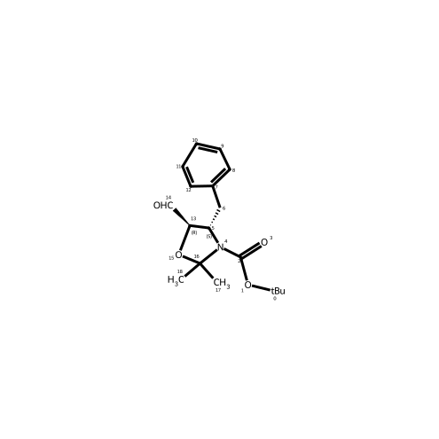 CC(C)(C)OC(=O)N1[C@@H](Cc2ccccc2)[C@H](C=O)OC1(C)C